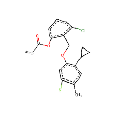 COC(=O)Oc1cccc(Cl)c1COc1cc(F)c(C)cc1C1CC1